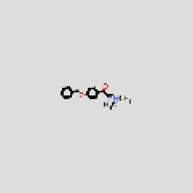 CN(C)/C=C/C(=O)c1ccc(OCc2ccccc2)cc1